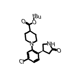 CC(C)(C)OC(=O)C1CCN(c2cc(Cl)ccc2[C@H]2CNC(=O)C2)CC1